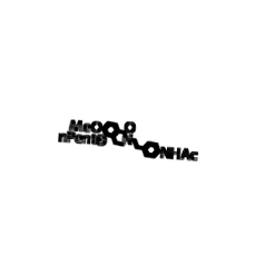 CCCCCOc1c(OC)ccc2c1CCN(CCc1ccc(NC(C)=O)cc1)C2=O